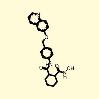 O=C(NO)C1CCCCC1C(=O)Nc1ccc(COc2ccc3ncccc3c2)cc1